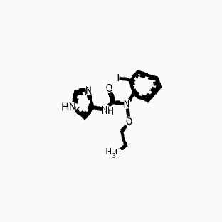 CCCON(C(=O)Nc1c[nH]cn1)c1ccccc1I